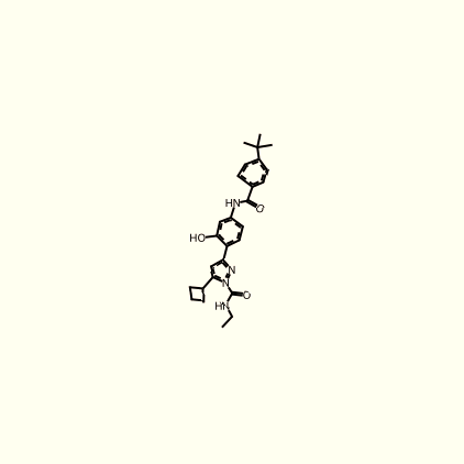 CCNC(=O)n1nc(-c2ccc(NC(=O)c3ccc(C(C)(C)C)cc3)cc2O)cc1C1CCC1